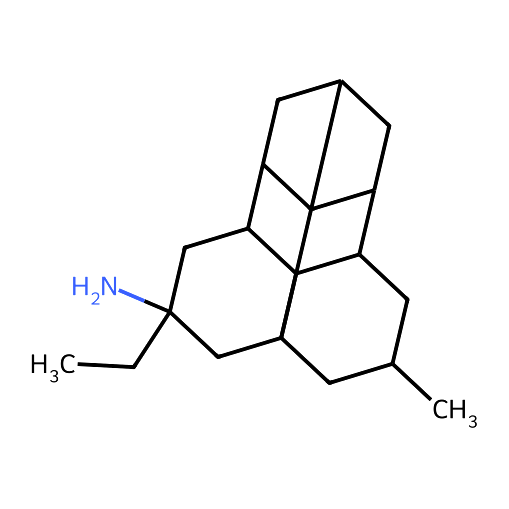 CCC1(N)CC2C3CC4CC(C3)C3(CC(C)CC4C23)C1